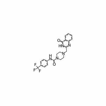 O=C(Nc1ccc(C(F)(F)F)cc1)N1CCN(Cc2nc3ccccc3c(=O)[nH]2)CC1